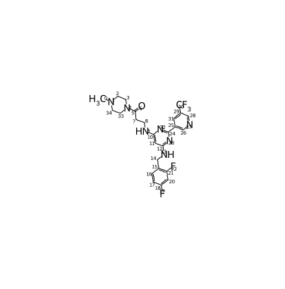 CN1CCN(C(=O)CCNc2cc(NCc3ccc(F)cc3F)nc(-c3cncc(C(F)(F)F)c3)n2)CC1